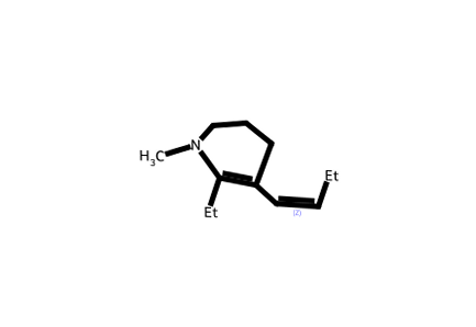 CC/C=C\C1=C(CC)N(C)CCC1